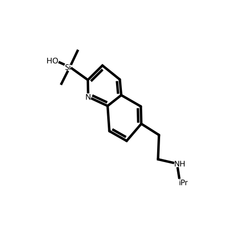 CC(C)NCCc1ccc2nc([Si](C)(C)O)ccc2c1